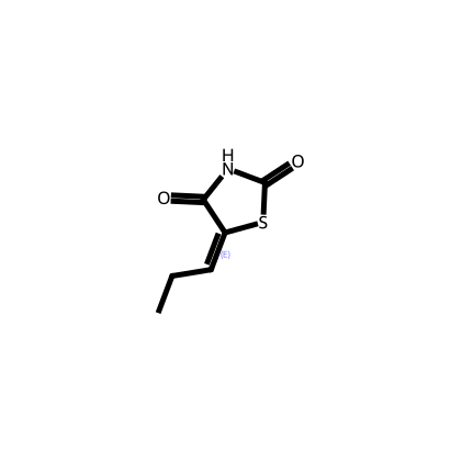 CC/C=C1/SC(=O)NC1=O